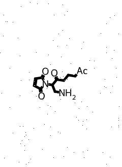 CC(=O)CCCC(=O)C(CN)N1C(=O)C=CC1=O